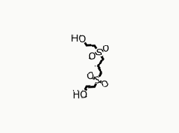 O=S(=O)(C[CH]CS(=O)(=O)CCO)CCO